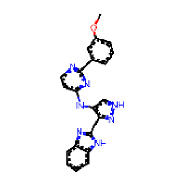 COc1cccc(-c2nccc(Nc3c[nH]nc3-c3nc4ccccc4[nH]3)n2)c1